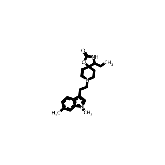 CCC1NC(=O)OC12CCN(CCc1cn(C)c3cc(C)ccc13)CC2